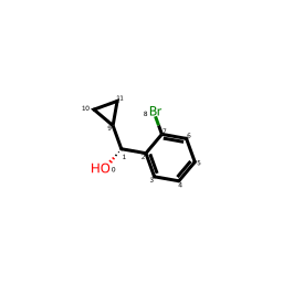 O[C@@H](c1ccccc1Br)C1CC1